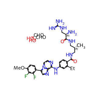 CCc1cc(Nc2nccn3c(-c4ccc(OC)c(F)c4F)cnc23)ccc1C(=O)NC[C@@H](C)CNC(=O)[C@H](N)CNC(=N)N.O=CO.O=CO